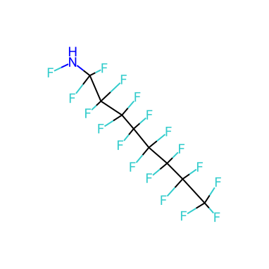 FNC(F)(F)C(F)(F)C(F)(F)C(F)(F)C(F)(F)C(F)(F)C(F)(F)C(F)(F)F